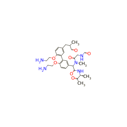 CC(=O)[C@H](C)NC(=O)C(c1ccc(OCCN)c(-c2cc(CC(C)C=O)ccc2OCCN)c1)N(C)C(=O)CNC=O